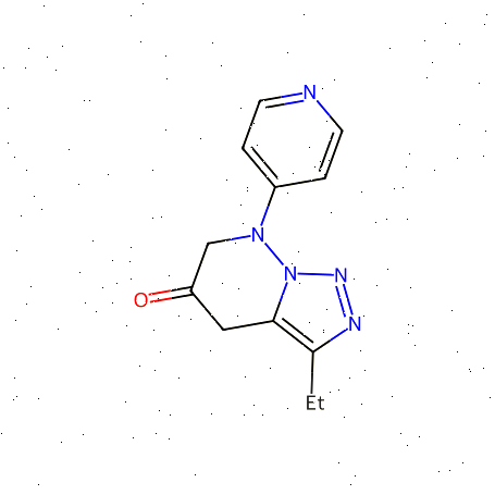 CCc1nnn2c1CC(=O)CN2c1ccncc1